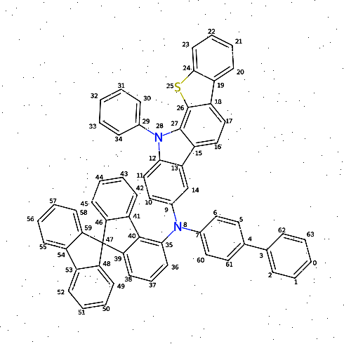 c1ccc(-c2ccc(N(c3ccc4c(c3)c3ccc5c6ccccc6sc5c3n4-c3ccccc3)c3cccc4c3-c3ccccc3C43c4ccccc4-c4ccccc43)cc2)cc1